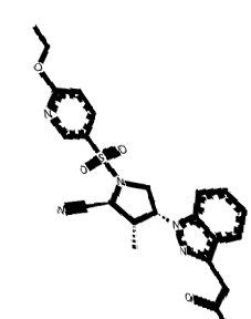 CCOc1ccc(S(=O)(=O)N2C[C@H](n3nc(CC(=O)O)c4ccccc43)[C@H](C)[C@H]2C#N)cn1